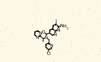 CC(c1ncccn1)N(Cc1ccc(Cl)cn1)C(=O)c1cnc2nc(N)c(I)cc2c1